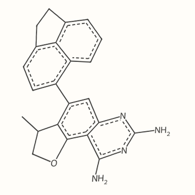 CC1COc2c1c(-c1ccc3c4c(cccc14)CC3)cc1nc(N)nc(N)c21